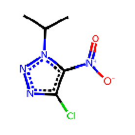 CC(C)n1nnc(Cl)c1[N+](=O)[O-]